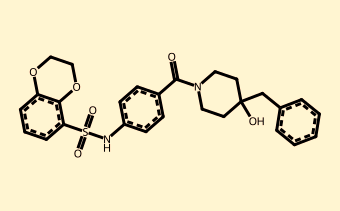 O=C(c1ccc(NS(=O)(=O)c2cccc3c2OCCO3)cc1)N1CCC(O)(Cc2ccccc2)CC1